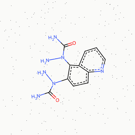 NC(=O)N(N)c1ccc2ncccc2c1N(N)C(N)=O